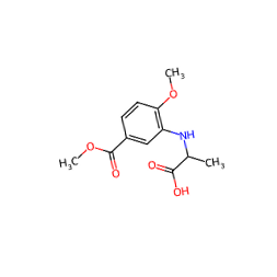 COC(=O)c1ccc(OC)c(NC(C)C(=O)O)c1